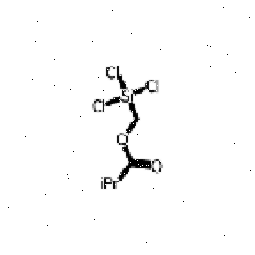 CC(C)C(=O)OC[Si](Cl)(Cl)Cl